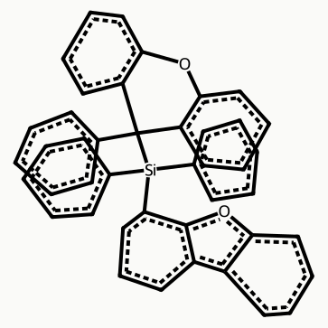 c1ccc(C2([Si](c3ccccc3)(c3ccccc3)c3cccc4c3oc3ccccc34)c3ccccc3Oc3ccccc32)cc1